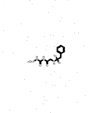 [2H]C([2H])(Cc1ccccc1)NCC(=O)NC(=O)NCCCCCCCC